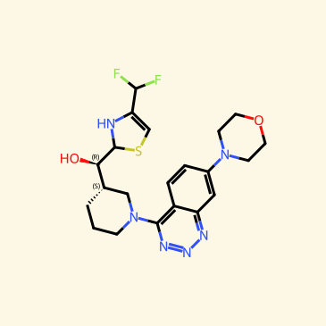 O[C@@H](C1NC(C(F)F)=CS1)[C@H]1CCCN(c2nnnc3cc(N4CCOCC4)ccc23)C1